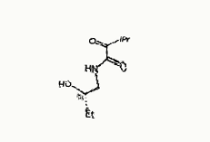 CC[C@H](O)CNC(=O)C(=O)C(C)C